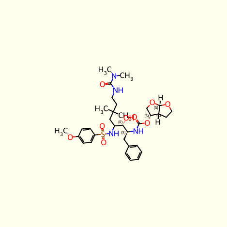 COc1ccc(S(=O)(=O)NC(CC(C)(C)CCNC(=O)N(C)C)[C@H](O)[C@H](Cc2ccccc2)NC(=O)O[C@@H]2CO[C@@H]3OCC[C@@H]32)cc1